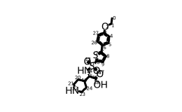 CCOc1ccc(-c2ccc(S(=O)(=O)N[C@@H](C(=O)O)C3CCNCC3)s2)cc1